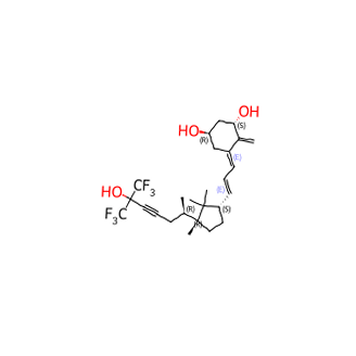 C=C1/C(=C/C=C/[C@@H]2CC[C@](C)([C@H](C)CC#CC(O)(C(F)(F)F)C(F)(F)F)C2(C)C)C[C@@H](O)C[C@@H]1O